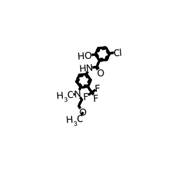 COCCN(C)c1ccc(NC(=O)c2cc(Cl)ccc2O)cc1C(F)(F)F